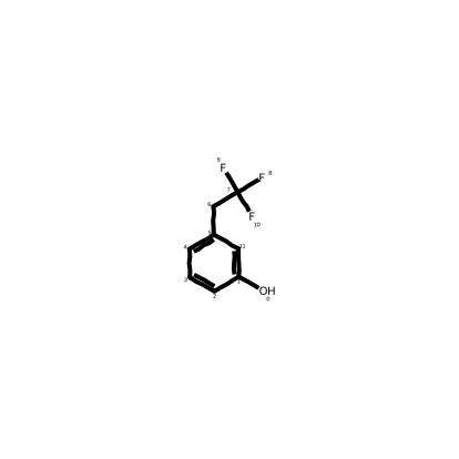 Oc1cccc(CC(F)(F)F)c1